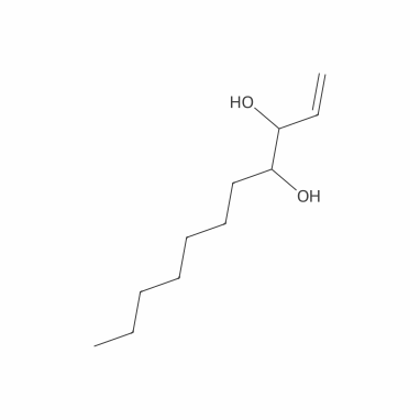 C=CC(O)C(O)CCCCCCC